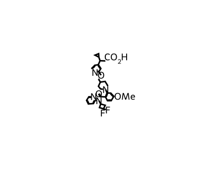 COc1ccc(C(=O)N(c2ccccn2)C2CC(F)(F)C2)c(N2CCC(COc3cc(C(CC(=O)O)C4CC4)ccn3)CC2)c1